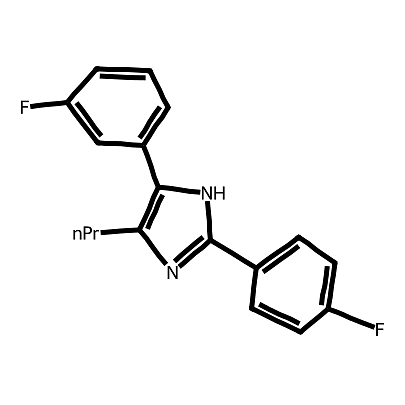 CCCc1nc(-c2ccc(F)cc2)[nH]c1-c1cccc(F)c1